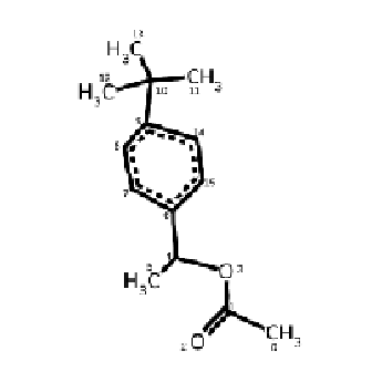 CC(=O)OC(C)c1ccc(C(C)(C)C)cc1